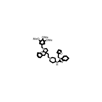 COc1cc(CN2CCC(CCN3CCC(Nc4nc5ccccc5n4Cc4ccco4)CC3)(Cc3ccccc3)C2=O)cc(OC)c1OC